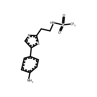 Nc1ccc(-c2cnc(CCNS(=O)(=O)C(F)(F)F)s2)cc1